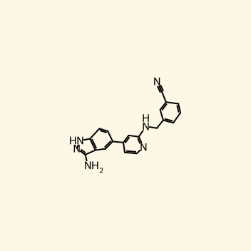 N#Cc1cccc(CNc2cc(-c3ccc4[nH]nc(N)c4c3)ccn2)c1